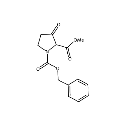 COC(=O)C1C(=O)CCN1C(=O)OCc1ccccc1